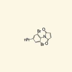 CCCc1cc(Br)c(N2C(=O)C=CC2=O)c(Br)c1